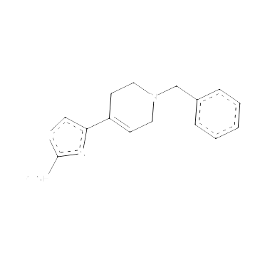 CC(=O)Nc1nc(C2=CCN(Cc3ccccc3)CC2)cs1